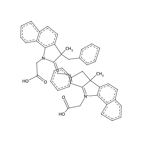 CC1(Cc2ccccc2)C(/C=C/C=C2/N(CC(=O)O)c3c(ccc4ccccc34)C2(C)Cc2ccccc2)=[N+](CC(=O)O)c2c1ccc1ccccc21